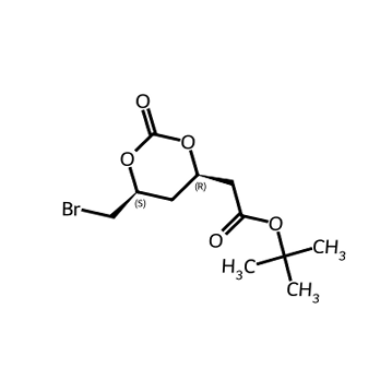 CC(C)(C)OC(=O)C[C@H]1C[C@@H](CBr)OC(=O)O1